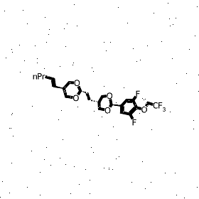 CCCC=C[C@H]1CO[C@H](CC[C@H]2CO[C@H](c3cc(F)c(OCC(F)(F)F)c(F)c3)OC2)OC1